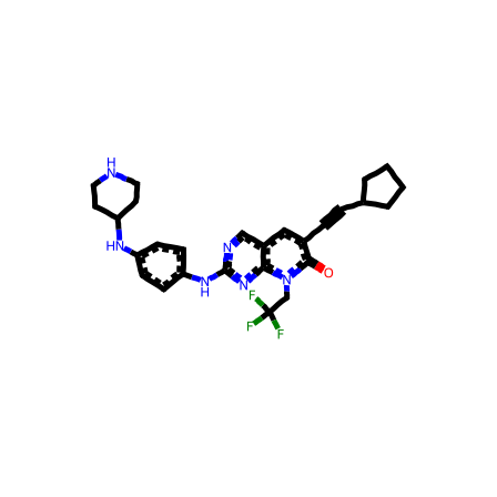 O=c1c(C#CC2CCCC2)cc2cnc(Nc3ccc(NC4CCNCC4)cc3)nc2n1CC(F)(F)F